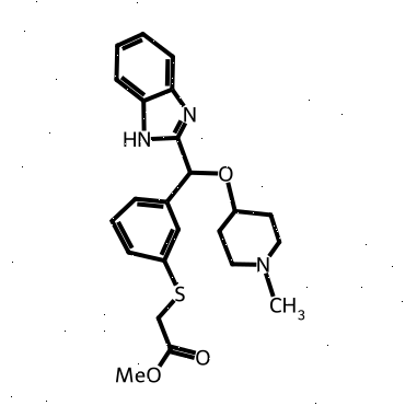 COC(=O)CSc1cccc(C(OC2CCN(C)CC2)c2nc3ccccc3[nH]2)c1